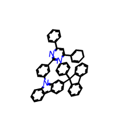 C1=CC(c2cc(-c3ccccc3)nc(-c3cccc(-n4c5ccccc5c5ccc(C6(c7ccccc7)c7ccccc7-c7ccccc76)cc54)c3)n2)=CCC1